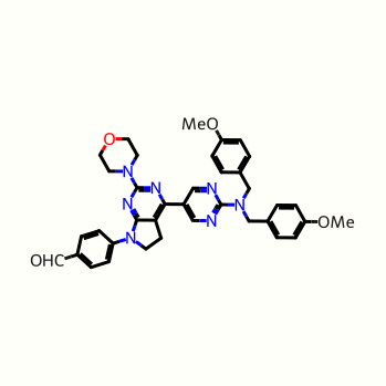 COc1ccc(CN(Cc2ccc(OC)cc2)c2ncc(-c3nc(N4CCOCC4)nc4c3CCN4c3ccc(C=O)cc3)cn2)cc1